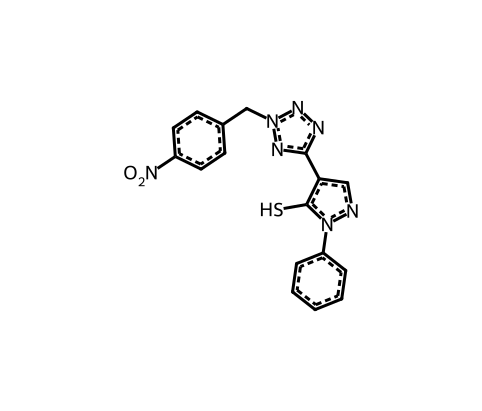 O=[N+]([O-])c1ccc(Cn2nnc(-c3cnn(-c4ccccc4)c3S)n2)cc1